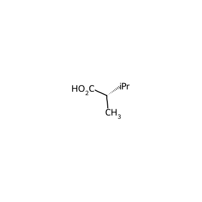 CC(C)[C@H](C)C(=O)O